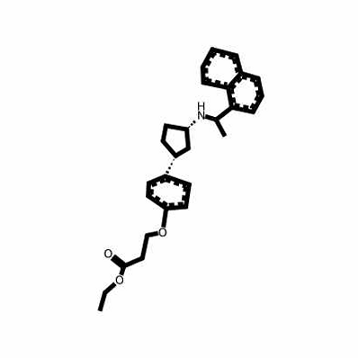 CCOC(=O)CCOc1ccc([C@@H]2CC[C@H](NC(C)c3cccc4ccccc34)C2)cc1